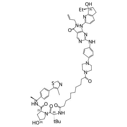 C=CCn1c(=O)c2cnc(Nc3ccc(N4CCN(C(=O)CCCCCCCCC(=O)N[C@@H](C(=O)N5C[C@H](O)C[C@H]5C(=O)N[C@@H](C)c5ccc(-c6scnc6C)cc5)C(C)(C)C)CC4)cc3)nc2n1-c1ccc2c(n1)[C@@](O)(CC)CC2